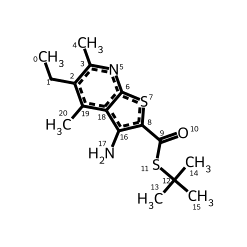 CCc1c(C)nc2sc(C(=O)SC(C)(C)C)c(N)c2c1C